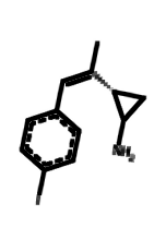 CC(=Cc1ccc(I)cc1)[C@@H]1CC1N